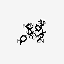 CC1(C)C2CN(C#N)[C@@H](C(=O)N(c3ccc(S(F)(F)(F)(F)F)cc3)[C@@H](C(=O)NC3CCC(F)(F)CC3)c3cncc(F)c3)C21